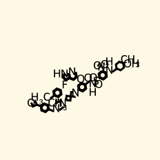 CC(C)c1ccccc1[C@@H]1CN(Cc2ccc(C3COC3)cc2)CCN1C1CC2(C1)CN(c1ccc(C(=O)NS(=O)(=O)c3ccc(NCC4CCC(C)(O)CC4)c([N+](=O)[O-])c3)c(Oc3cnc4[nH]cc(F)c4c3)c1)C2